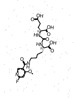 COc1cc(F)ncc1C(=O)NCCCC[C@H](NC(=O)N[C@@H](CCC(=O)O)C(=O)O)C(=O)O